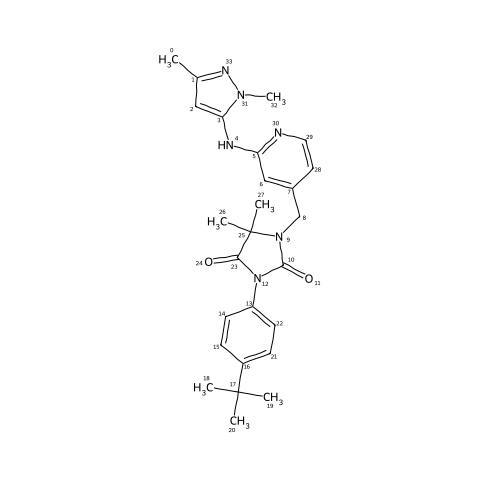 Cc1cc(Nc2cc(CN3C(=O)N(c4ccc(C(C)(C)C)cc4)C(=O)C3(C)C)ccn2)n(C)n1